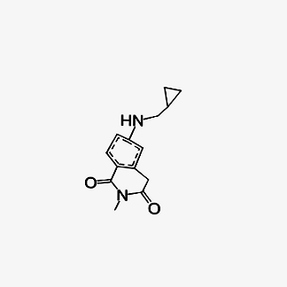 CN1C(=O)Cc2cc(NCC3CC3)ccc2C1=O